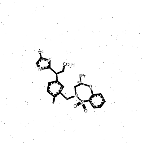 CCC[C@@H]1CN(Cc2cc(C(CC(=O)O)c3ncc(C(C)=O)s3)ccc2C)S(=O)(=O)c2ccccc2O1